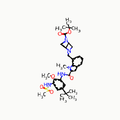 COc1c(NC(=O)c2cc3cccc(CN4CC5C4CN5C(=O)OC(C)(C)C)c3n2C)cc(C(C)(C)C)cc1NS(C)(=O)=O